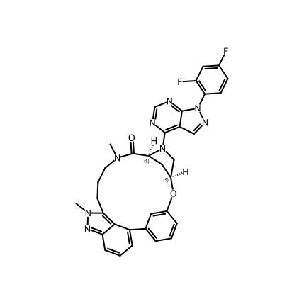 CN1CCCc2c3c(cccc3nn2C)-c2cccc(c2)O[C@H]2C[C@@H](C1=O)N(c1ncnc3c1cnn3-c1ccc(F)cc1F)C2